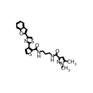 Cc1cc(C(=O)NCCCNC(=O)c2sccc2-c2nc(-c3cc4ccccc4o3)cs2)nn1C